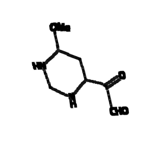 COC1CC(C(=O)C=O)NCN1